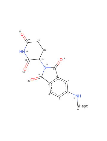 CCCCCCCNc1ccc2c(c1)C(=O)N(C1CCC(=O)NC1=O)C2=O